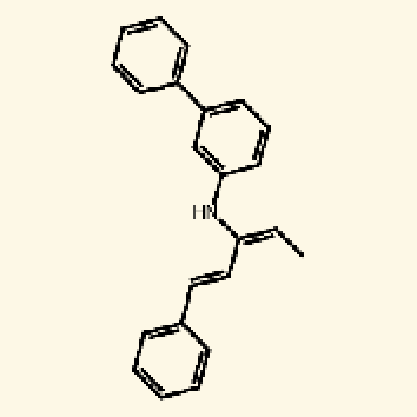 C/C=C(\C=C\c1ccccc1)Nc1cccc(-c2ccccc2)c1